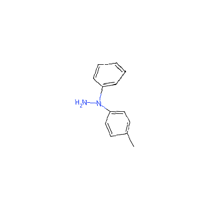 Cc1ccc(N(N)c2ccccc2)cc1